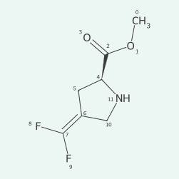 COC(=O)[C@@H]1CC(=C(F)F)CN1